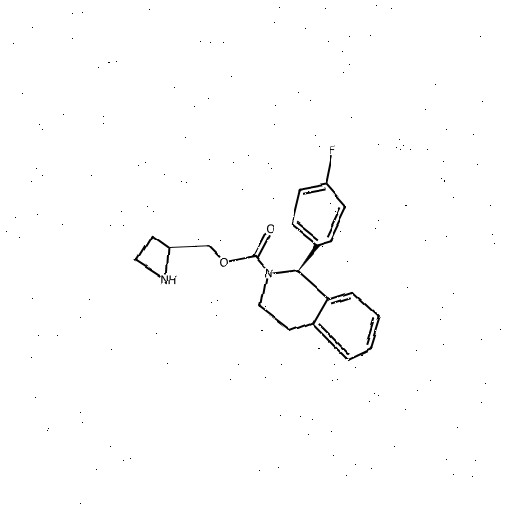 O=C(OCC1CCN1)N1CCc2ccccc2[C@@H]1c1ccc(F)cc1